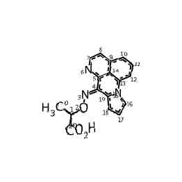 CC(O/N=c1/c2nccc3cccc(c32)n2cccc12)C(=O)O